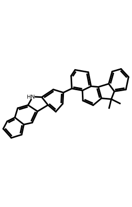 CC1(C)c2ccccc2-c2c1ccc1c(-c3ccc4c(c3)[nH]c3cc5ccccc5cc34)cccc21